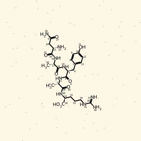 C[C@H](NC(=O)[C@H](Cc1ccc(O)cc1)NC(=O)[C@H](C)NC(=O)[C@@H](N)CC(N)=O)C(=O)N[C@@H](CCCNC(=N)N)C(=O)O